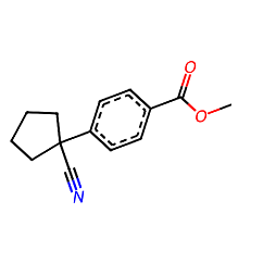 COC(=O)c1ccc(C2(C#N)CCCC2)cc1